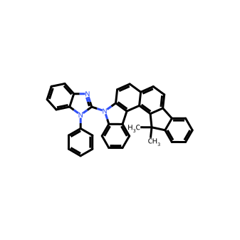 CC1(C)c2ccccc2-c2ccc3ccc4c(c5ccccc5n4-c4nc5ccccc5n4-c4ccccc4)c3c21